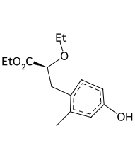 CCOC(=O)[C@H](Cc1ccc(O)cc1C)OCC